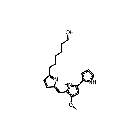 COc1cc(-c2ccc[nH]2)[nH]c1C=C1C=CC(CCCCCCO)=N1